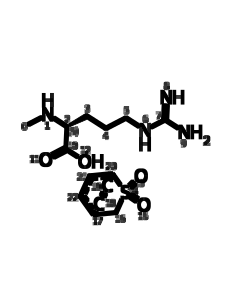 CN[C@@H](CCCNC(=N)N)C(=O)O.O=S1(=O)Cc2ccc1cc2